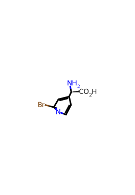 N[C@@H](C(=O)O)c1ccnc(Br)c1